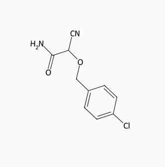 N#CC(OCc1ccc(Cl)cc1)C(N)=O